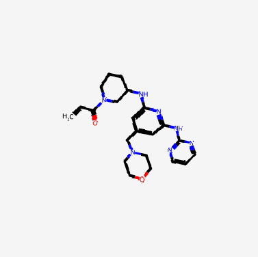 C=CC(=O)N1CCCC(Nc2cc(CN3CCOCC3)cc(Nc3ncccn3)n2)C1